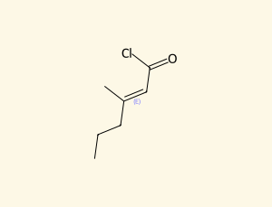 CCC/C(C)=C/C(=O)Cl